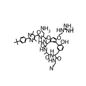 Cc1nc(-c2ccc(C(C)(C)C)cc2)nc(C)c1C(=O)NC(CCN)C(=O)N(C)C1C(=O)NC(C)C(=O)NC(C(=O)NCC#N)Cc2ccc(O)c(c2)-c2cc1ccc2OCCNC(=N)N